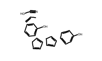 C1=CCC=C1.C1=CCC=C1.C=CC.N#CO.Oc1ccccc1.Oc1ccccc1